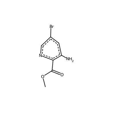 COC(=O)c1ncc(Br)cc1N